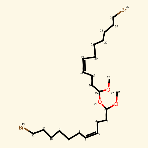 COC(CC/C=C\CCCCCCBr)OC(CC/C=C\CCCCCCBr)OC